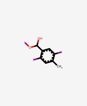 Cc1cc(I)c(C(O)OI)cc1I